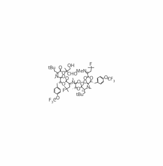 CN[C@@H](CC(C)(C)F)C(=O)O[C@H](Cc1ccc(OC(F)(F)F)cc1)C(=O)N(C)[C@@H](CC(C)(C)C)C(=O)O[C@H](C)C(=O)N(C)[C@@H](CC(C)(C)F)C(=O)O[C@H](Cc1ccc(OC(F)(F)F)cc1)C(=O)N(C)[C@@H](CC(C)(C)C)C(=O)O[C@](C)(C=O)CO